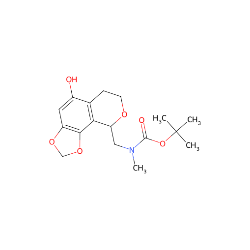 CN(CC1OCCc2c(O)cc3c(c21)OCO3)C(=O)OC(C)(C)C